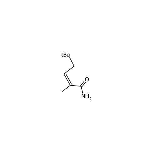 CC(=CCC(C)(C)C)C(N)=O